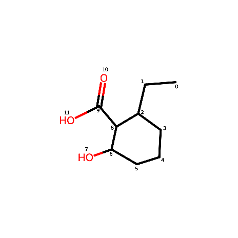 CCC1CCCC(O)C1C(=O)O